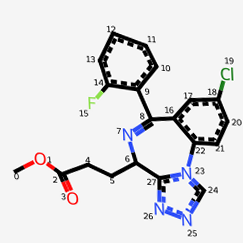 COC(=O)CCC1N=C(c2ccccc2F)c2cc(Cl)ccc2-n2cnnc21